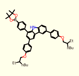 CCCCC(CC)COc1ccc(-c2ccc3[nH]c4c(-c5ccc(B6OC(C)(C)C(C)(C)O6)cc5)cc(-c5ccc(OCC(CC)CCCC)cc5)cc4c3c2)cc1